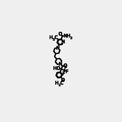 COc1cccc(C(O)(C(=O)N2CCC(CC3CCN(c4cnc(C(N)=O)c(C)c4)CC3)CC2)C(F)(F)F)c1